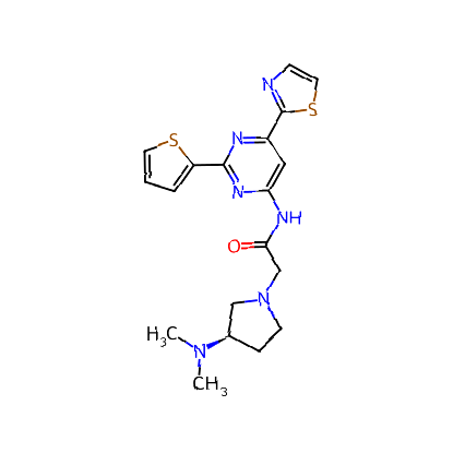 CN(C)[C@@H]1CCN(CC(=O)Nc2cc(-c3nccs3)nc(-c3cccs3)n2)C1